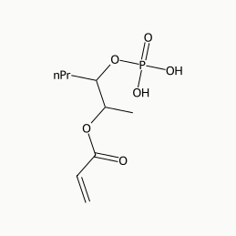 C=CC(=O)OC(C)C(CCC)OP(=O)(O)O